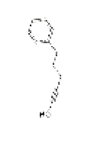 OC#CCCCc1ccccc1